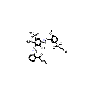 CCOC(=O)c1ccccc1/N=N/c1c(N)c(/N=N/c2cc(S(=O)(=O)CCO)ccc2OC)cc(S(=O)(=O)O)c1N